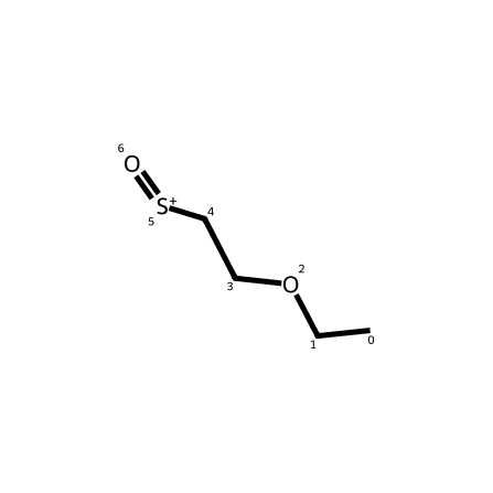 CCOCC[S+]=O